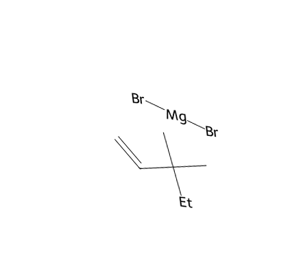 [Br][Mg][Br].[CH2]CC(C)(C)C=C